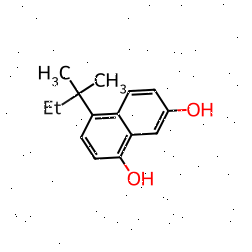 CCC(C)(C)c1ccc(O)c2cc(O)ccc12